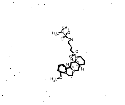 COc1cccc2c1CCN1C[C@@H]3CCCN(S(=O)(=O)CCCNS(=O)(=O)N(C)C)[C@@H]3C[C@@H]21